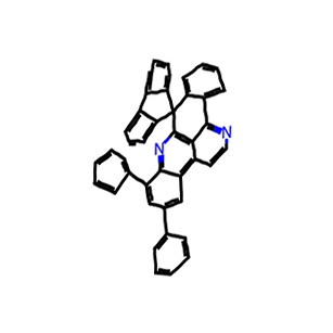 c1ccc(-c2cc(-c3ccccc3)c3nc4c5c(nccc5c3c2)-c2ccccc2C42c3ccccc3-c3ccccc32)cc1